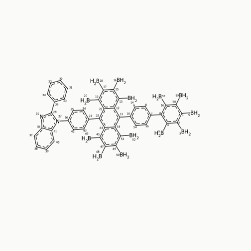 Bc1c(B)c(B)c(-c2ccc(-c3c4c(B)c(B)c(B)c(B)c4c(-c4ccc(-n5c(-c6ccccc6)nc6ccccc65)cc4)c4c(B)c(B)c(B)c(B)c34)cc2)c(B)c1B